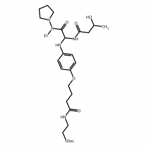 CCCCCCCCCCCCNC(=O)CCCOc1ccc(NC(NC(=O)CC(C)O)C(=O)N(CC)N2CCCC2)cc1